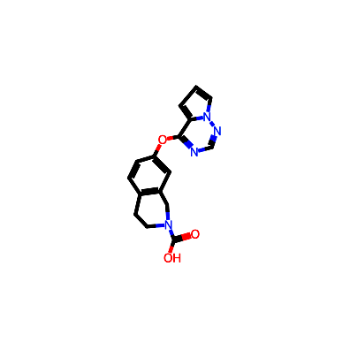 O=C(O)N1CCc2ccc(Oc3ncnn4cccc34)cc2C1